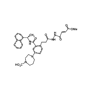 COC(=O)/C=C/C(=O)NNC(=O)CCc1ccc(N2CCCN(C(=O)O)CC2)cc1C(=O)N[C@H](C)c1cccc2ccccc12